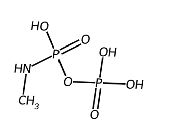 CNP(=O)(O)OP(=O)(O)O